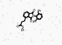 CCSC(=O)CCc1cccc2c1C(=O)N(c1c(C(C)C)cccc1C(C)C)C2=O